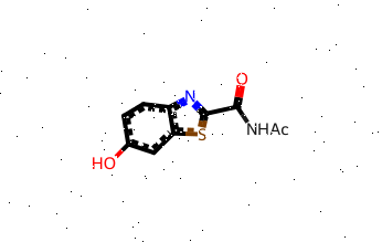 CC(=O)NC(=O)c1nc2ccc(O)cc2s1